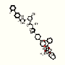 CC(C)[C@@H](C(=O)N1C[C@H](O)C[C@H]1C1=NO[C@](C)(c2ccc(-c3ccccc3F)cc2)N1)c1cc([C@H]2CC[C@H](N3CCC(c4cnc(N5C6CCC5CN(c5cc(-c7ccccc7O)nnc5N)C6)nc4)CC3)CC2)no1